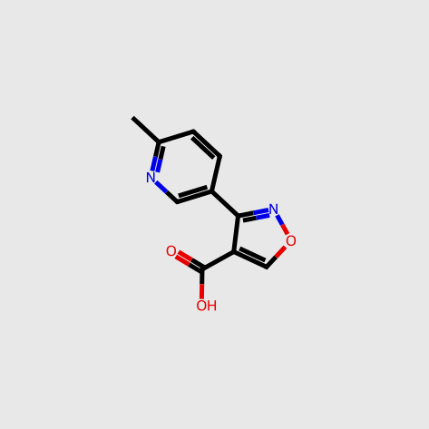 Cc1ccc(-c2nocc2C(=O)O)cn1